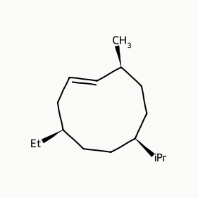 CC[C@H]1C/C=C/[C@@H](C)CC[C@@H](C(C)C)CC1